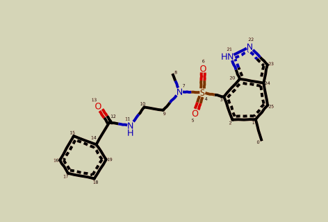 Cc1cc(S(=O)(=O)N(C)CCNC(=O)c2ccccc2)c2[nH]ncc2c1